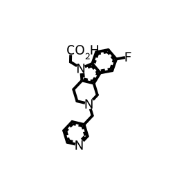 O=C(O)Cn1c2c(c3cc(F)ccc31)CN(Cc1cccnc1)CC2